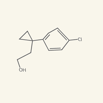 OCCC1(c2ccc(Cl)cc2)CC1